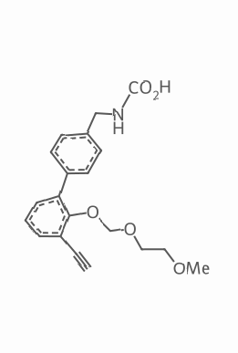 C#Cc1cccc(-c2ccc(CNC(=O)O)cc2)c1OCOCCOC